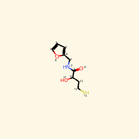 O=C(NCc1ccco1)C(O)CCS